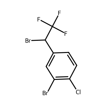 FC(F)(F)C(Br)c1ccc(Cl)c(Br)c1